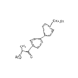 CCOC(=O)c1ccc(-c2ccc(C(=O)C(C)OC(C)=O)cc2)cc1